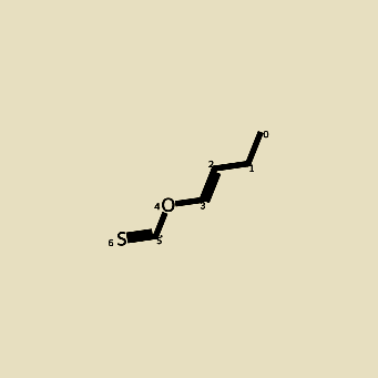 CCC=CO[C]=S